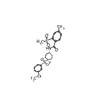 CS(=O)(=O)c1cc(C(F)(F)F)ccc1C(=O)N[C@H]1CC[C@](F)(S(=O)(=O)c2cccc(OC(F)(F)F)c2)CC1